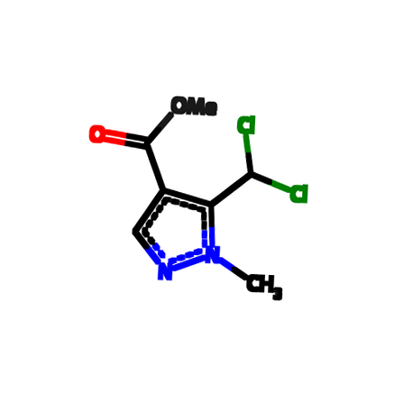 COC(=O)c1cnn(C)c1C(Cl)Cl